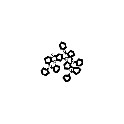 c1ccc(N2c3ccccc3B3c4cc5c(cc4Sc4cccc2c43)N(c2ccccc2)c2cccc3c2B5c2ccc4c(c2N3c2ccccc2)c2ccccc2n4-c2ccccc2)cc1